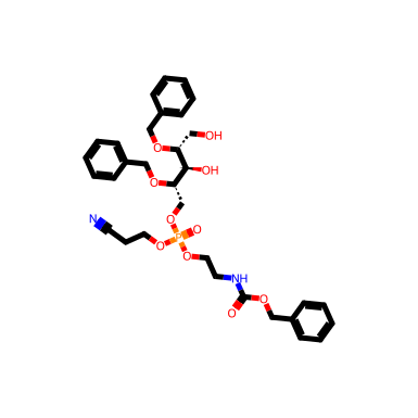 N#CCCOP(=O)(OCCNC(=O)OCc1ccccc1)OC[C@H](OCc1ccccc1)[C@H](O)[C@@H](CO)OCc1ccccc1